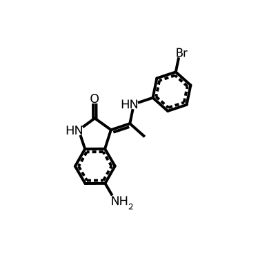 C/C(Nc1cccc(Br)c1)=C1/C(=O)Nc2ccc(N)cc21